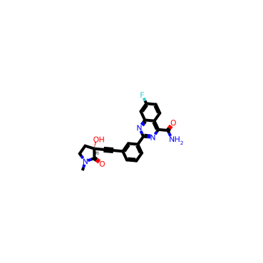 CN1CC[C@@](O)(C#Cc2cccc(-c3nc(C(N)=O)c4ccc(F)cc4n3)c2)C1=O